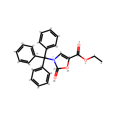 CCOC(=O)c1cn(C(c2ccccc2)(c2ccccc2)c2ccccc2)c(=O)o1